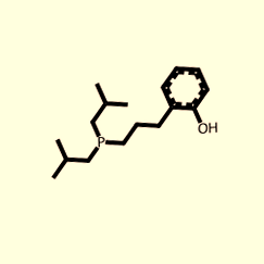 CC(C)CP(CCCc1ccccc1O)CC(C)C